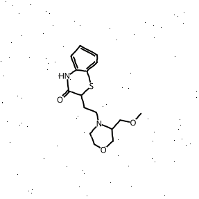 COCC1COCCN1CCC1Sc2ccccc2NC1=O